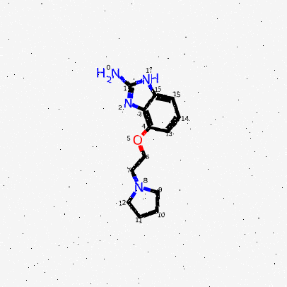 Nc1nc2c(OCCN3CCCC3)cccc2[nH]1